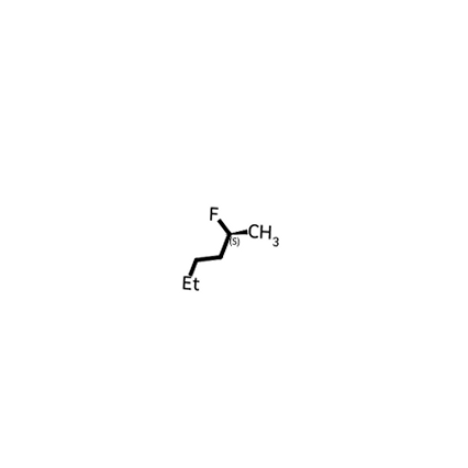 CCCC[C@H](C)F